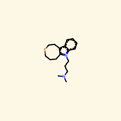 CN(C)CCCn1c2c(c3ccccc31)CCSCCC2